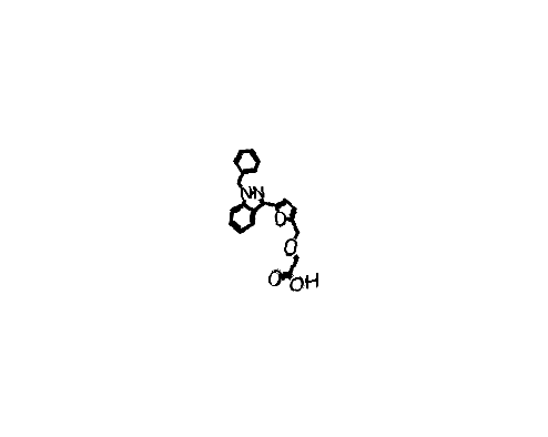 O=C(O)COCc1ccc(-c2nn(Cc3ccccc3)c3ccccc23)o1